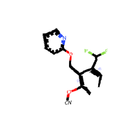 C/C=C(\C(COc1ccccn1)=C(/C)OC#N)C(F)F